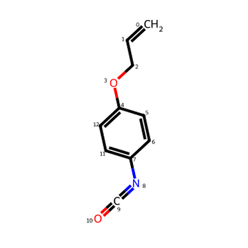 C=CCOc1ccc(N=C=O)cc1